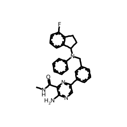 CNC(=O)c1nc(-c2cccc(CN(c3ccccc3)C3CCc4c(F)cccc43)c2)cnc1N